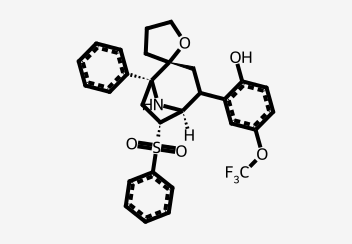 O=S(=O)(c1ccccc1)[C@@H]1C[C@]2(c3ccccc3)N[C@H]1C(c1cc(OC(F)(F)F)ccc1O)C[C@]21CCCO1